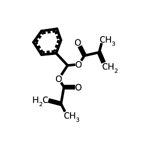 C=C(C)C(=O)OC(OC(=O)C(=C)C)c1ccccc1